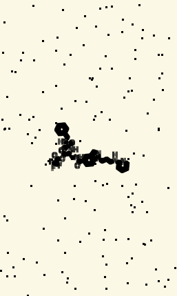 O=C(NC[C@H](NS(=O)(=O)NCc1ccccc1)C(=O)OC(=O)C(F)(F)F)c1ccc2c(cnn2CCCNc2ccccn2)c1